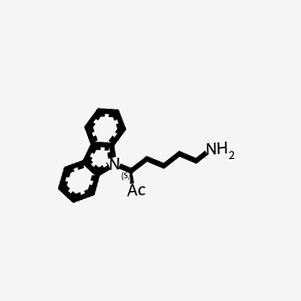 CC(=O)[C@H](CCCCN)n1c2ccccc2c2ccccc21